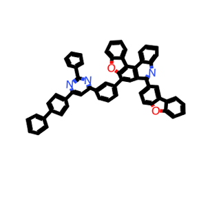 c1ccc(-c2ccc(-c3cc(-c4cccc(-c5cc6c(-c7ccc8oc9ccccc9c8c7)nc7ccccc7c6c6c5oc5ccccc56)c4)nc(-c4ccccc4)n3)cc2)cc1